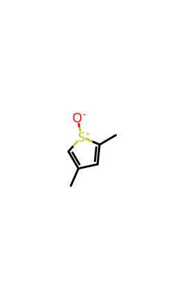 Cc1cc(C)[s+]([O-])c1